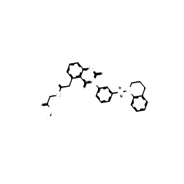 CC(C)(C)OC(=O)CNC(=O)Cc1cccc2[nH]c(=O)n(-c3cccc(S(=O)(=O)N4CCCc5ccccc54)c3)c(=O)c12